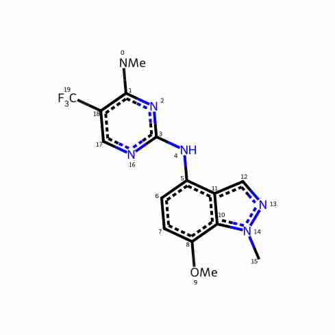 CNc1nc(Nc2ccc(OC)c3c2cnn3C)ncc1C(F)(F)F